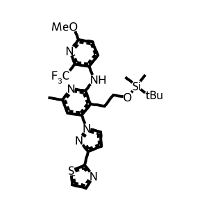 COc1ccc(Nc2nc(C)cc(-n3ccc(-c4nccs4)n3)c2CCO[Si](C)(C)C(C)(C)C)c(C(F)(F)F)n1